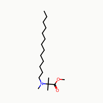 CCCCCCCCCCCCCN(C)C(C)(C)C(=O)OC